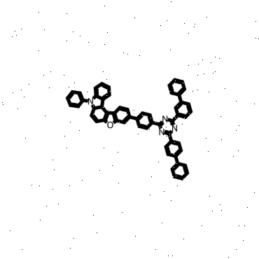 C1=CC2C(c3ccccc3N2c2ccccc2)c2c1oc1cc(-c3ccc(-c4nc(-c5ccc(-c6ccccc6)cc5)nc(-c5cccc(-c6ccccc6)c5)n4)cc3)ccc21